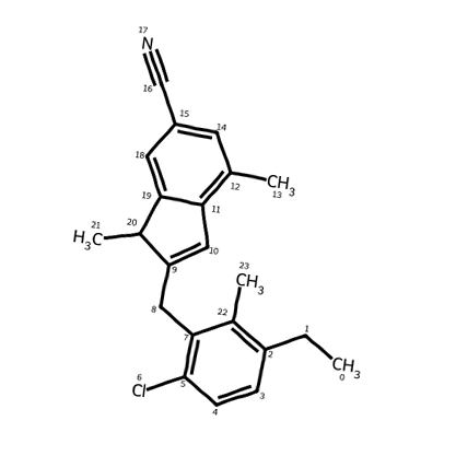 CCc1ccc(Cl)c(CC2=Cc3c(C)cc(C#N)cc3C2C)c1C